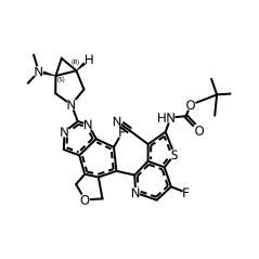 CN(C)[C@@]12C[C@@H]1CN(c1ncc3c4c(c(-c5ncc(F)c6sc(NC(=O)OC(C)(C)C)c(C#N)c56)c(F)c3n1)COC4)C2